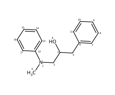 CN(CC(O)Cc1ccccc1)c1ccccc1